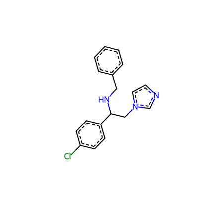 Clc1ccc(C(Cn2ccnc2)NCc2ccccc2)cc1